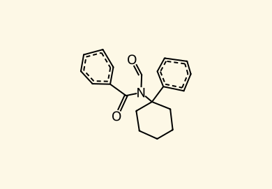 O=CN(C(=O)c1ccccc1)C1(c2ccccc2)CCCCC1